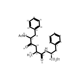 CCOC(=O)[C@H](Cc1ccccc1)NC(=O)C(C)CC(=O)C(Cc1ccccc1)NC(C)=O